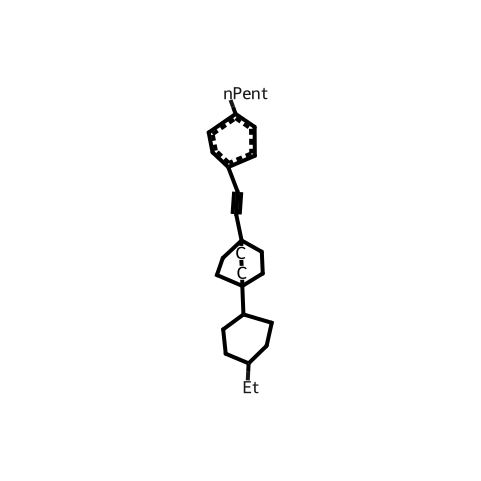 CCCCCc1ccc(C#CC23CCC(C4CCC(CC)CC4)(CC2)CC3)cc1